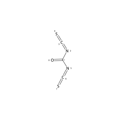 O=C(N=C=S)N=C=S